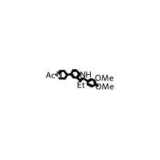 CCc1c(-c2ccc(OC)c(OC)c2)[nH]c2ccc(C3CCN(C(C)=O)CC3)cc12